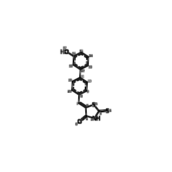 O=C1NC(=S)S/C1=C\c1ccc(-c2cccc(O)c2)cc1